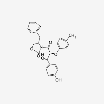 Cc1ccc(O[C@H](C(=O)N2C(=O)OCC2Cc2ccccc2)[C@H](O)c2ccc(O)cc2)cc1